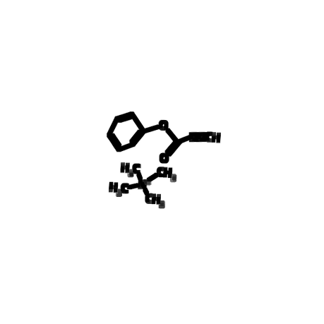 C#CC(=O)Oc1ccccc1.C[N+](C)(C)C